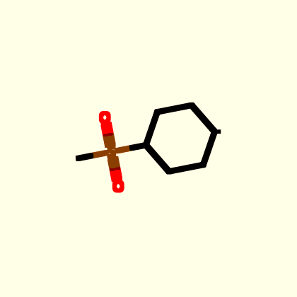 CS(=O)(=O)C1CC[CH]CC1